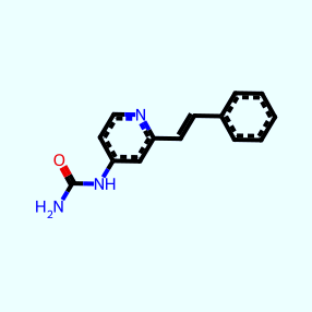 NC(=O)Nc1ccnc(/C=C/c2ccccc2)c1